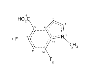 Cn1ccc2c(C(=O)O)c(F)cc(F)c21